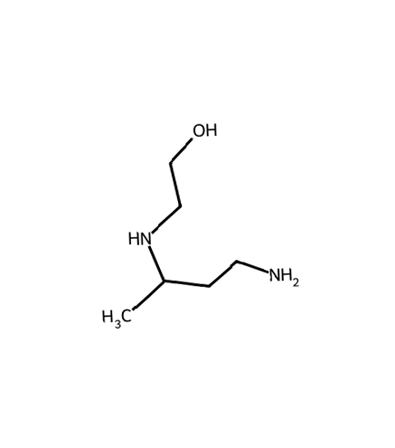 CC(CCN)NCCO